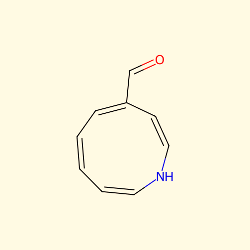 O=Cc1ccccc[nH]cc1